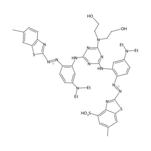 CCN(CC)c1ccc(/N=N/c2nc3ccc(C)cc3s2)c(Nc2nc(Nc3cc(N(CC)CC)ccc3/N=N/c3nc4c(S(=O)(=O)O)cc(C)cc4s3)nc(N(CCO)CCO)n2)c1